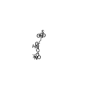 CSC1CC(=O)N(CCCCCC(=O)CNc2ccc(COC(=O)N(C)[C@H](C)C(C)C)cc2)C1=O